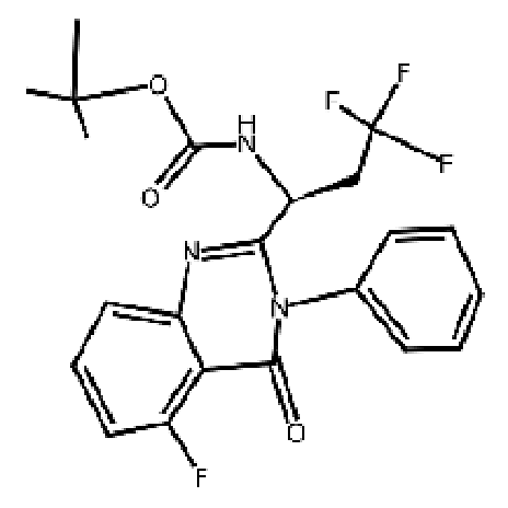 CC(C)(C)OC(=O)N[C@@H](CC(F)(F)F)c1nc2cccc(F)c2c(=O)n1-c1ccccc1